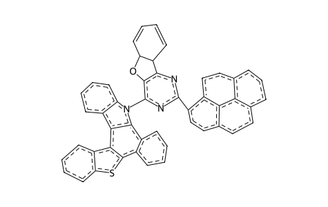 C1=CC2Oc3c(nc(-c4ccc5ccc6cccc7ccc4c5c67)nc3-n3c4ccccc4c4c5c6ccccc6sc5c5ccccc5c43)C2C=C1